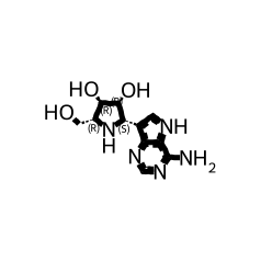 Nc1ncnc2c([C@@H]3N[C@H](CO)[C@@H](O)[C@@H]3O)c[nH]c12